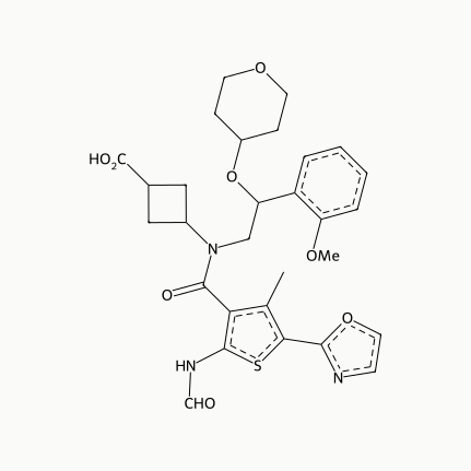 COc1ccccc1C(CN(C(=O)c1c(NC=O)sc(-c2ncco2)c1C)C1CC(C(=O)O)C1)OC1CCOCC1